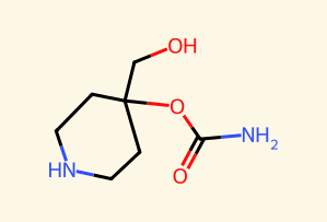 NC(=O)OC1(CO)CCNCC1